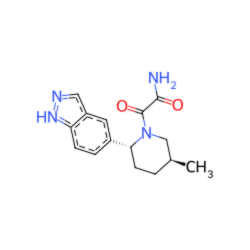 C[C@H]1CC[C@H](c2ccc3[nH]ncc3c2)N(C(=O)C(N)=O)C1